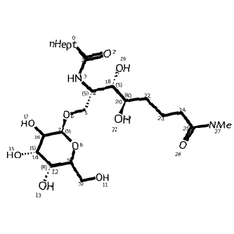 CCCCCCCC(=O)N[C@@H](CO[C@H]1OC(CO)[C@H](O)[C@H](O)C1O)[C@H](O)[C@H](O)CCCC(=O)NC